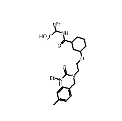 CCCC(NC(=O)C1CCCC(OCCN(Cc2ccc(C)cc2)C(=O)NCC)C1)C(=O)O